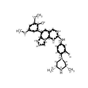 COc1cc(OC)c(Cl)c(-c2cc3cnc(Nc4ccc(N5C[C@@H](C)N[C@@H](C)C5)c(F)c4)nc3n3cnnc23)c1